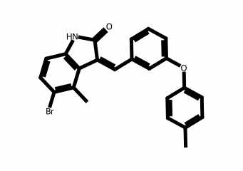 Cc1ccc(Oc2cccc(C=C3C(=O)Nc4ccc(Br)c(C)c43)c2)cc1